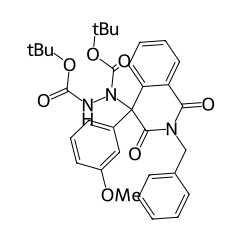 COc1cccc(C2(N(NC(=O)OC(C)(C)C)C(=O)OC(C)(C)C)C(=O)N(Cc3ccccc3)C(=O)c3ccccc32)c1